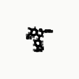 COC(=O)CC(c1ccc(C)c(CO)c1)c1ccc2c(c1)nnn2C